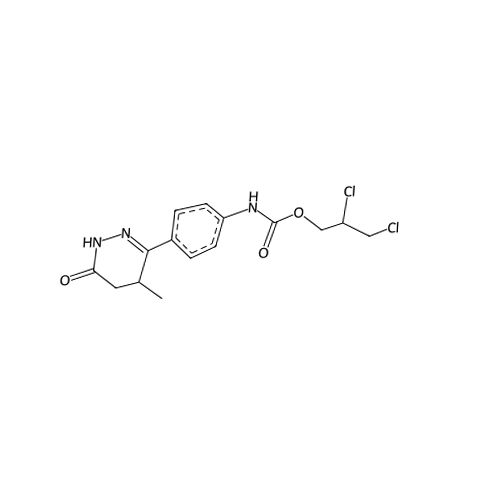 CC1CC(=O)NN=C1c1ccc(NC(=O)OCC(Cl)CCl)cc1